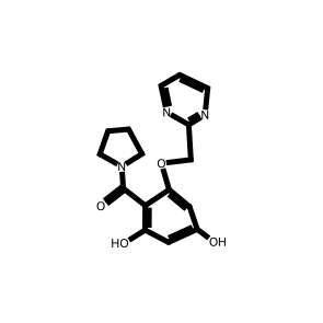 O=C(c1c(O)cc(O)cc1OCc1ncccn1)N1CCCC1